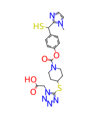 Cn1ccnc1C(S)c1ccc(OC(=O)N2CCC(Sc3nnnn3CC(=O)O)CC2)cc1